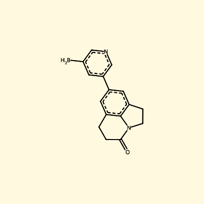 Bc1cncc(-c2cc3c4c(c2)CCN4C(=O)CC3)c1